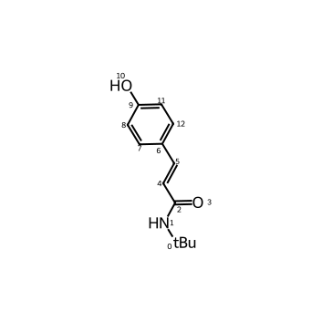 CC(C)(C)NC(=O)C=Cc1ccc(O)cc1